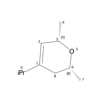 CC(C)C1=C[C@H](C)O[C@H](C)C1